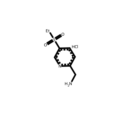 CCS(=O)(=O)c1ccc(CN)nc1.Cl